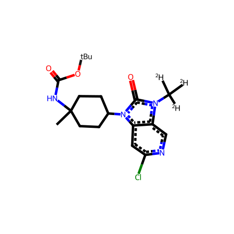 [2H]C([2H])([2H])n1c(=O)n(C2CCC(C)(NC(=O)OC(C)(C)C)CC2)c2cc(Cl)ncc21